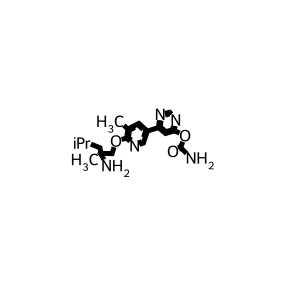 Cc1cc(-c2cc(OC(N)=O)ncn2)cnc1OCC(C)(N)CC(C)C